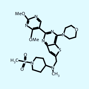 COc1ncc(-c2nc(N3CCOCC3)c3sc(CN(C)C4CCN(S(C)(=O)=O)CC4)cc3n2)c(OC)n1